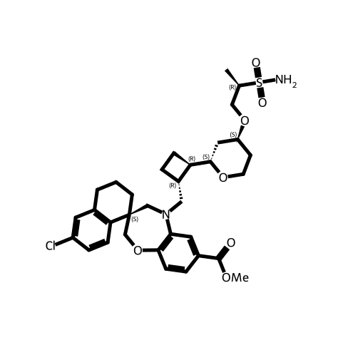 COC(=O)c1ccc2c(c1)N(C[C@@H]1CC[C@H]1[C@@H]1C[C@@H](OC[C@@H](C)S(N)(=O)=O)CCO1)C[C@@]1(CCCc3cc(Cl)ccc31)CO2